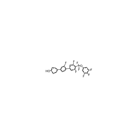 Oc1ccc(-c2ccc(-c3cc(F)c(C(F)(F)Oc4cc(F)c(F)c(F)c4)c(F)c3)c(F)c2)cc1